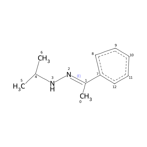 C/C(=N\NC(C)C)c1ccccc1